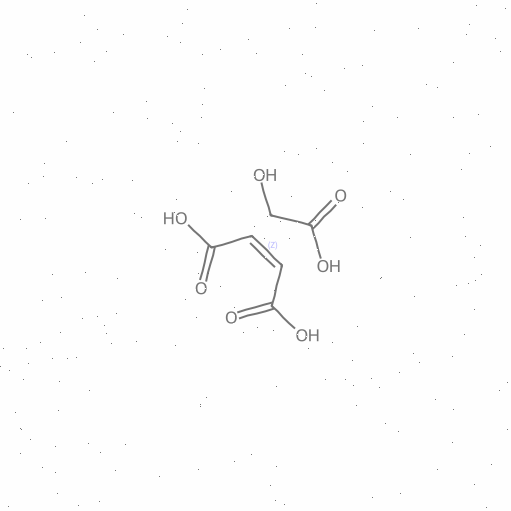 O=C(O)/C=C\C(=O)O.O=C(O)CO